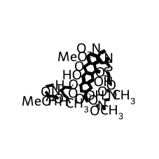 COc1cccc2c1C(=O)c1c(O)c3c(c(O)c1C2=O)C[C@@](O)(C(=O)COC(=O)N(C)CCN(C)C(=O)OCCSSc1ccc([N+](=O)[O-])cn1)C[C@@H]3O[C@H]1C[C@H]2[C@H](O[C@@H]3[C@@H](OC)OCCN32)[C@H](C)O1